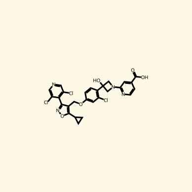 O=C(O)c1ccnc(N2CC(O)(c3ccc(OCc4c(-c5c(Cl)cncc5Cl)noc4C4CC4)cc3Cl)C2)c1